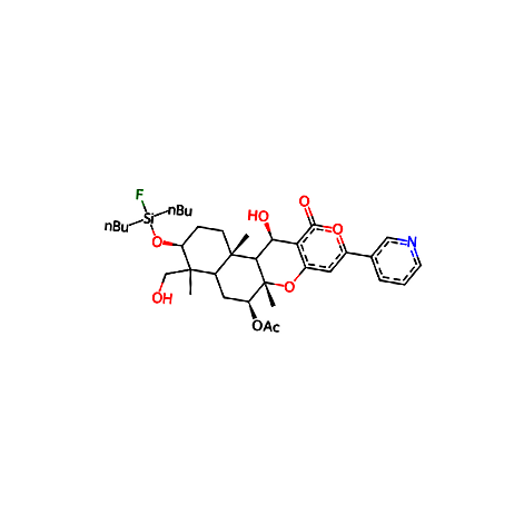 CCCC[Si](F)(CCCC)O[C@H]1CC[C@@]2(C)C(C[C@H](OC(C)=O)[C@@]3(C)Oc4cc(-c5cccnc5)oc(=O)c4[C@H](O)C23)C1(C)CO